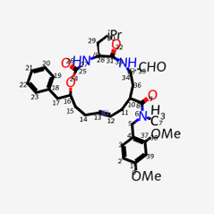 COc1ccc(CN(C)C(=O)C2C/C=C/CCC(Cc3ccccc3)OC(=O)N[C@@H](CC(C)C)C(=O)N[C@H](C=O)C2)c(OC)c1